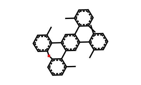 Cc1cccc(C)c1-c1[c]c(-c2c(C)cccc2C)c(-c2c(C)cccc2C)[c]c1-c1c(C)cccc1C